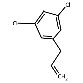 C=CCc1cc(Cl)[c]c(Cl)c1